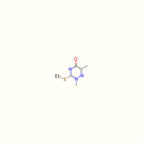 CCSc1nc(=O)c(C)nn1C